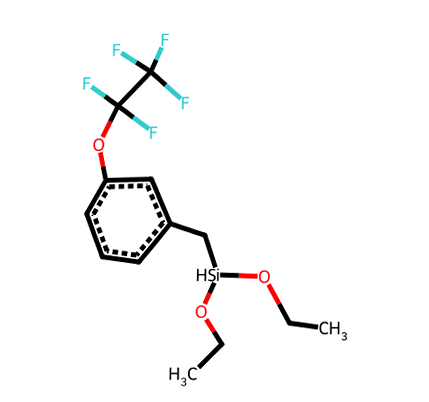 CCO[SiH](Cc1cccc(OC(F)(F)C(F)(F)F)c1)OCC